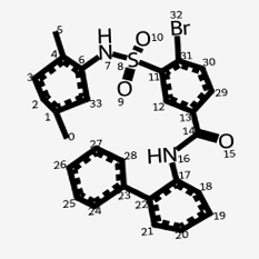 Cc1ccc(C)c(NS(=O)(=O)c2cc(C(=O)Nc3ccccc3-c3ccccc3)ccc2Br)c1